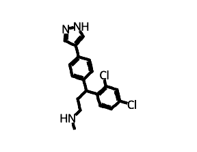 CNCCC(c1ccc(-c2cn[nH]c2)cc1)c1ccc(Cl)cc1Cl